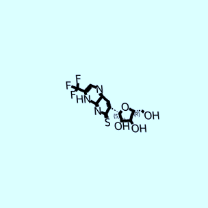 OC[C@H]1O[C@@H](c2cc3ncc(C(F)(F)F)[nH]c-3nc2=S)[C@@H](O)C1O